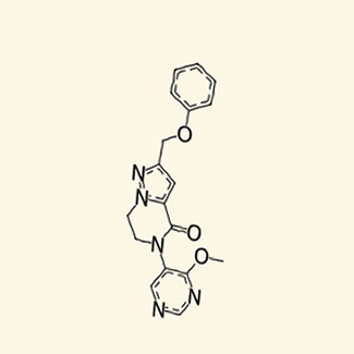 COc1ncncc1N1CCn2nc(COc3ccccc3)cc2C1=O